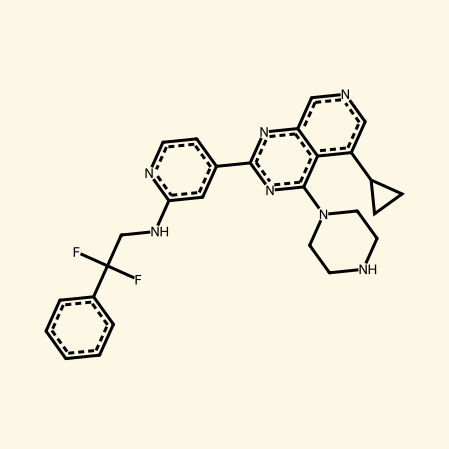 FC(F)(CNc1cc(-c2nc(N3CCNCC3)c3c(C4CC4)cncc3n2)ccn1)c1ccccc1